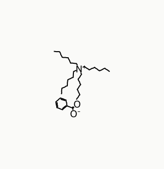 CCCCCC[N+](CCCCCC)(CCCCCC)CCCCCC.O=C([O-])c1ccccc1